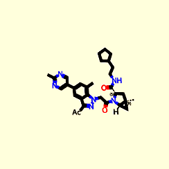 CC(=O)c1nn(CC(=O)N2[C@H](C(=O)NCCC3CCCC3)C[C@@]3(C)C[C@@H]23)c2c(C)cc(-c3cnc(C)nc3)cc12